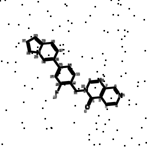 O=c1c2ccncc2ncn1Cc1ccc(-c2ccc3cccn3c2)cc1F